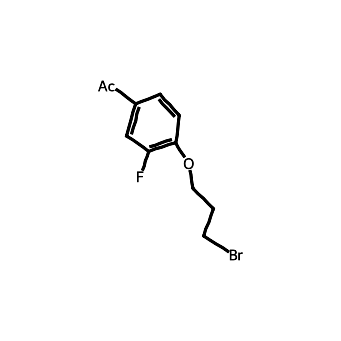 CC(=O)c1ccc(OCCCBr)c(F)c1